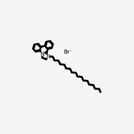 CCCCCCCCCCCCCCCCCCN1CC[n+]2c1c1ccccc1c1ccccc12.[Br-]